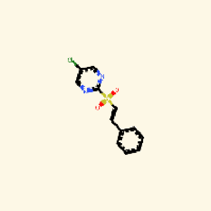 O=S(=O)(/C=C/c1ccccc1)c1ncc(Cl)cn1